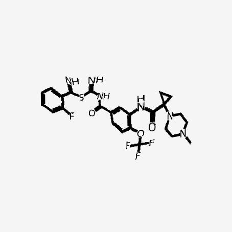 CN1CCN(C2(C(=O)Nc3cc(C(=O)NC(=N)SC(=N)c4ccccc4F)ccc3OC(F)(F)F)CC2)CC1